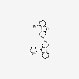 Brc1cccc2oc3cc(-c4ccc5c6ccccc6n(-c6cccnc6)c5c4)ccc3c12